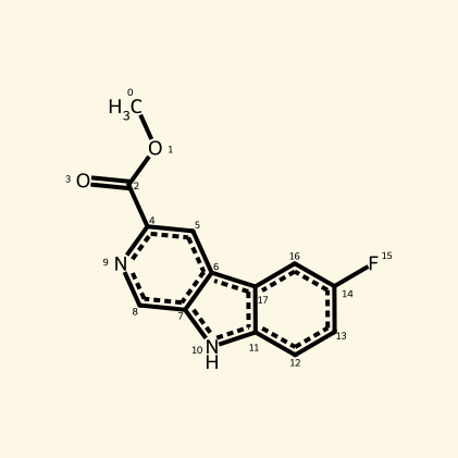 COC(=O)c1cc2c(cn1)[nH]c1ccc(F)cc12